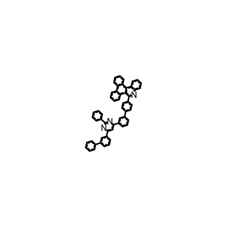 c1ccc(-c2cccc(-c3cc(-c4cccc(-c5ccc(-c6nc7ccccc7c7c8ccccc8c8ccccc8c67)cc5)c4)nc(-c4ccccc4)n3)c2)cc1